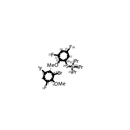 COc1c(F)cc(F)cc1Br.COc1c(F)cc(F)cc1S[Si](C(C)C)(C(C)C)C(C)C